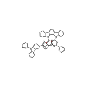 c1ccc(-c2nc(-c3ccccc3)nc(-n3c4ccccc4c4ccc5c6ccccc6n(-c6cccc7nc(-c8ccc9c(c8)c8ccccc8n9-c8ccccc8)oc67)c5c43)n2)cc1